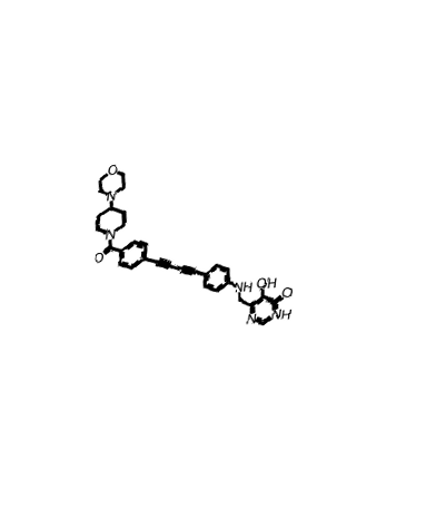 O=C(c1ccc(C#CC#Cc2ccc(NCc3nc[nH]c(=O)c3O)cc2)cc1)N1CCC(N2CCOCC2)CC1